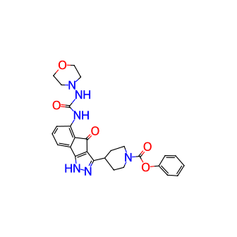 O=C(Nc1cccc2c1C(=O)c1c(C3CCN(C(=O)Oc4ccccc4)CC3)n[nH]c1-2)NN1CCOCC1